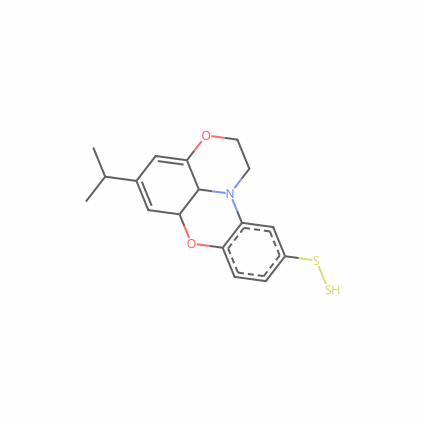 CC(C)C1=CC2Oc3ccc(SS)cc3N3CCOC(=C1)C23